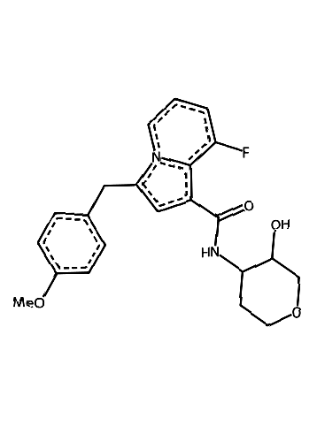 COc1ccc(Cc2cc(C(=O)NC3CCOCC3O)c3c(F)cccn23)cc1